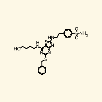 NS(=O)(=O)c1ccc(CCNc2nc3nc(SCc4ccccc4)nc(NCCCCO)c3s2)cc1